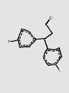 Fc1ccc(C(CCCl)c2ccc(F)cc2)cc1